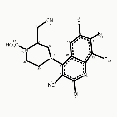 N#CCC1CN(c2c(C#N)c(O)nc3c(F)c(Br)c(Cl)cc23)CCN1C(=O)O